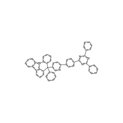 c1ccc(-c2nc(-c3ccccc3)nc(-c3ccc(-c4ccc(C5(c6ccccc6)c6ccccc6-n6c7ccccc7c7cccc5c76)cn4)cc3)n2)cc1